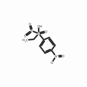 CCS(=O)(O)(c1ccc([N+](=O)[O-])cc1)P(=O)=S